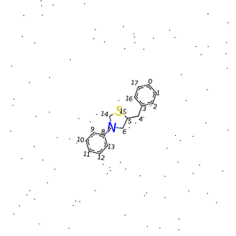 c1ccc(CC2CN(c3ccccc3)CS2)cc1